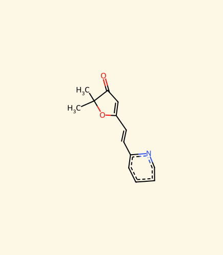 CC1(C)OC(/C=C/c2ccccn2)=CC1=O